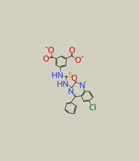 COC(=O)c1cc(NC(=S)NC2N=C(c3ccccc3)c3cc(Cl)ccc3N(C)C2=O)cc(C(=O)OC)c1